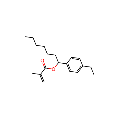 C=C(C)C(=O)OC(CCCCCC)c1ccc(CC)cc1